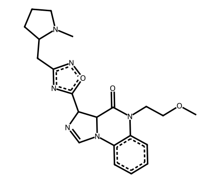 COCCN1C(=O)C2C(c3nc(CC4CCCN4C)no3)N=CN2c2ccccc21